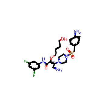 N=C/C(=C(/OCCCCO)C(=O)Nc1cc(F)cc(F)c1)N1CCN(S(=O)(=O)Cc2ccc(N)cc2)CC1